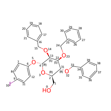 OC[C@H]1O[C@H](Oc2ccc(I)cc2)[C@@H](OCc2ccccc2)[C@@H](OCc2ccccc2)[C@@H]1OCc1ccccc1